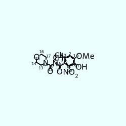 COc1cc(Cl)c(C(=O)N(C)C(=O)N2CCOCC2)c([N+](=O)[O-])c1O